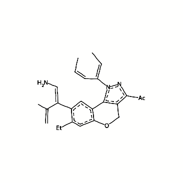 C=C(C)/C(=C\N)c1cc2c(cc1CC)OCc1c(C(C)=O)nn(C(/C=C\C)=C/C)c1-2